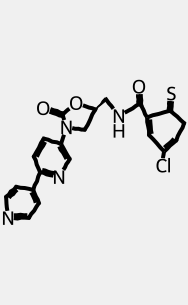 O=C(NC[C@H]1CN(c2ccc(-c3ccncc3)nc2)C(=O)O1)C1=CC(Cl)=CCC1=S